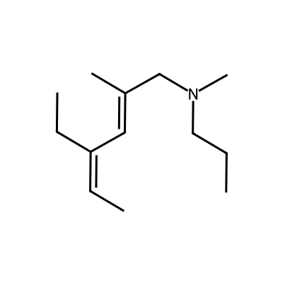 C/C=C(\C=C(/C)CN(C)CCC)CC